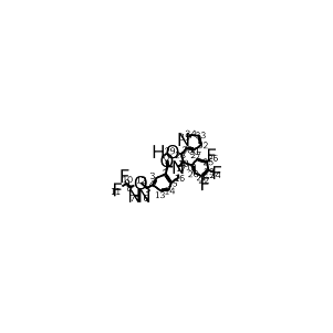 O=C1c2cc(-c3nnc(C(F)F)o3)ccc2CN1C(c1cc(F)c(F)c(F)c1)C(O)c1ccccn1